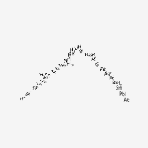 [Ac].[Ag].[Al].[B].[BaH2].[BeH2].[Bi].[Fe].[H+].[In+3].[In].[La].[LiH].[MgH2].[N+].[NaH].[Pb].[S].[Sb].[Sc].[SeH2].[Si].[Sm].[Ta]